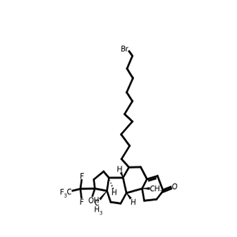 C[C@]12CCC(=O)C=C1CC(CCCCCCCCCCBr)[C@@H]1[C@H]2CC[C@@]2(C)[C@H]1CCC2(O)C(F)(F)C(F)(F)F